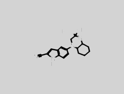 CC1(C)CN(c2ccc3[nH]c(C#N)cc3c2)C2CCCCC2N1